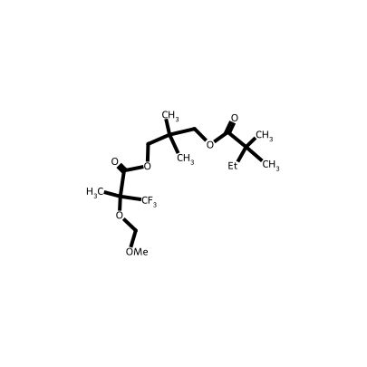 CCC(C)(C)C(=O)OCC(C)(C)COC(=O)C(C)(OCOC)C(F)(F)F